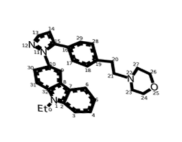 CCn1c2ccccc2c2cc(-n3nccc3-c3ccc(CCN4CCOCC4)cc3)ccc21